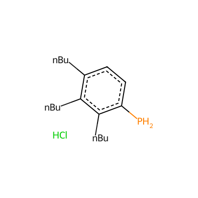 CCCCc1ccc(P)c(CCCC)c1CCCC.Cl